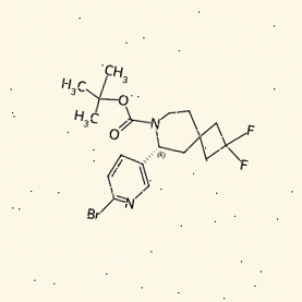 CC(C)(C)OC(=O)N1CCC2(C[C@@H]1c1ccc(Br)nc1)CC(F)(F)C2